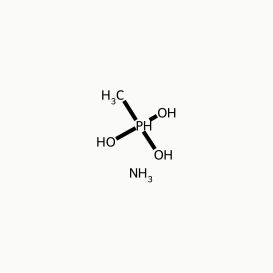 C[PH](O)(O)O.N